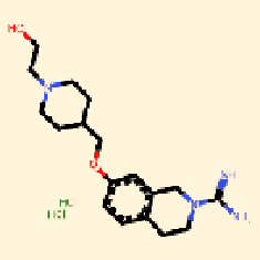 Cl.Cl.N=C(N)N1CCc2ccc(OCC3CCN(CCO)CC3)cc2C1